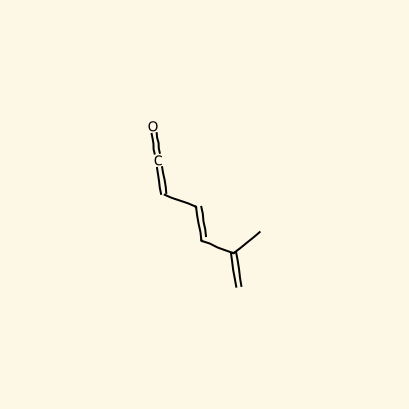 C=C(C)C=CC=C=O